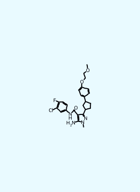 COCCOc1ccc(C2CCC(c3nn(C)c(N)c3C(=O)Nc3ccc(F)c(Cl)c3)C2)cc1